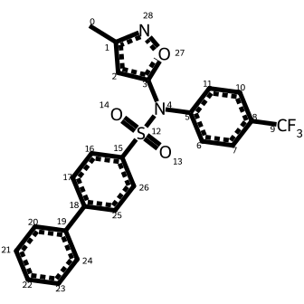 Cc1cc(N(c2ccc(C(F)(F)F)cc2)S(=O)(=O)c2ccc(-c3ccccc3)cc2)on1